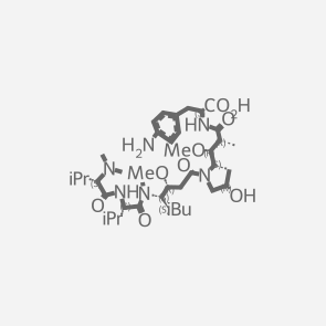 CC[C@H](C)[C@@H]([C@@H](CC(=O)N1C[C@H](O)C[C@H]1[C@H](OC)[C@@H](C)C(=O)N[C@@H](Cc1ccc(N)cc1)C(=O)O)OC)N(C)C(=O)[C@@H](NC(=O)[C@H](C(C)C)N(C)C)C(C)C